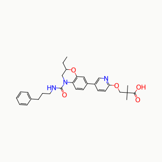 CCC1CN(C(=O)NCCCc2ccccc2)c2ccc(-c3ccc(OCC(C)(C)C(=O)O)nc3)cc2O1